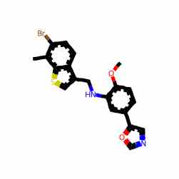 COc1ccc(-c2cnco2)cc1NCc1csc2c(C)c(Br)ccc12